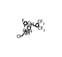 Cc1cc(F)ccc1[C@H]1C[C@H](NC(=O)NCCCl)CCN1C(=O)N(C)Cc1cc(C(F)(F)F)cc(C(F)(F)F)c1